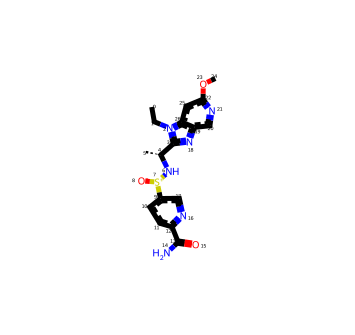 CCn1c([C@@H](C)N[S+]([O-])c2ccc(C(N)=O)nc2)nc2cnc(OC)cc21